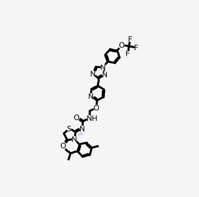 Cc1ccc(C(C)C)c(N2C(=O)CS/C2=N\C(=O)NCOc2ccc(-c3ncn(-c4ccc(OC(F)(F)F)cc4)n3)cn2)c1